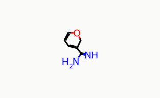 N=C(N)C1=CC=COC1